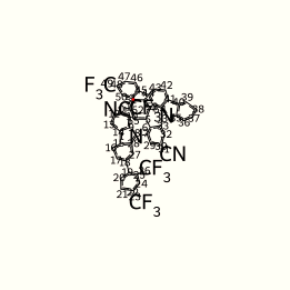 N#Cc1cccc(-c2c(-n3c4ccccc4c4ccc(-c5ccc(C(F)(F)F)cc5C(F)(F)F)cc43)cc(C#N)cc2-n2c3ccccc3c3ccc(-c4ccc(C(F)(F)F)cc4C(F)(F)F)cc32)c1